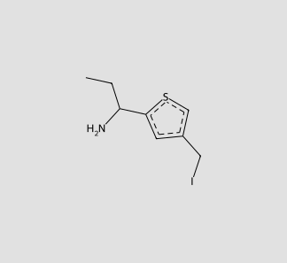 CCC(N)c1cc(CI)cs1